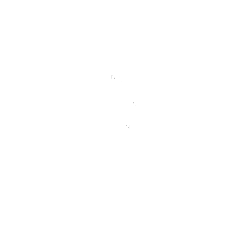 O=[N+]([O-])c1cnc2[nH]c(C(F)F)cc2c1